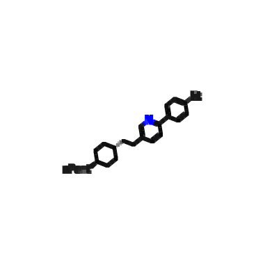 CCCCC[C@H]1CC[C@H](CCc2ccc(-c3ccc(CC)cc3)nc2)CC1